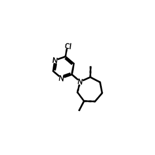 CC1CCCC(C)N(c2cc(Cl)ncn2)C1